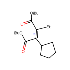 CC/C(C(=O)OCC(C)C)=C(/C(=O)OCC(C)C)C1CCCC1